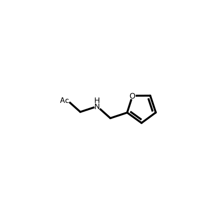 CC(=O)CNCc1ccco1